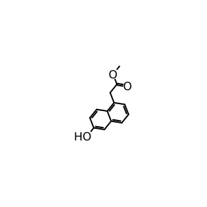 COC(=O)Cc1cccc2cc(O)ccc12